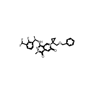 C[C@@H](Nc1nn(C)c(=O)c2cc(=O)n(C3(COCc4ccccc4)CC3)cc12)c1cccc(C(F)F)c1F